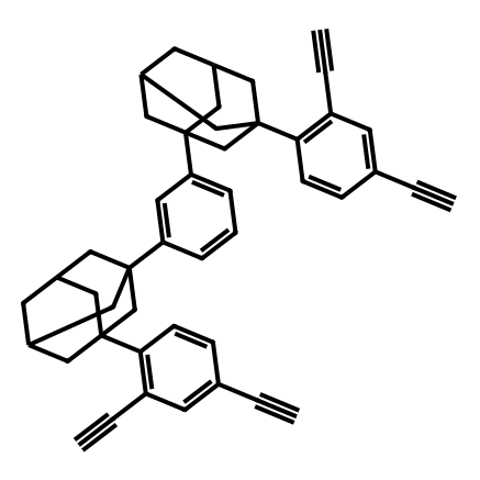 C#Cc1ccc(C23CC4CC(CC(c5cccc(C67CC8CC(C6)CC(c6ccc(C#C)cc6C#C)(C8)C7)c5)(C4)C2)C3)c(C#C)c1